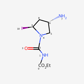 CCOC(=O)NC(=O)N1C[C@@H](N)C[C@@H]1I